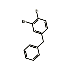 CCc1ccc(Cc2ccccc2)cc1CC